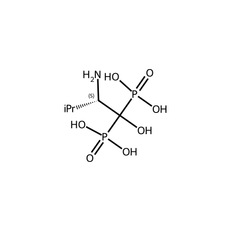 CC(C)[C@H](N)C(O)(P(=O)(O)O)P(=O)(O)O